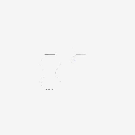 C/C(=C\C1CCCc2ccccc21)C(=O)O